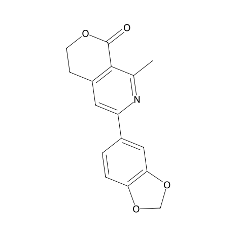 Cc1nc(-c2ccc3c(c2)OCO3)cc2c1C(=O)OCC2